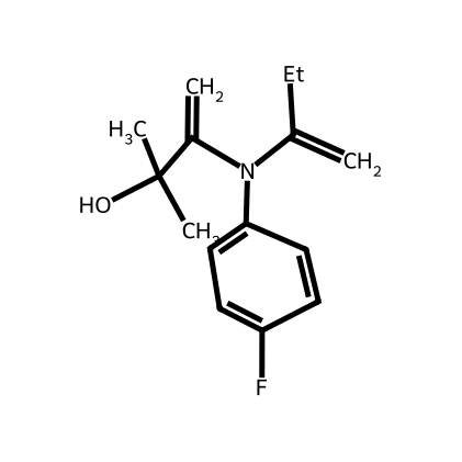 C=C(CC)N(C(=C)C(C)(C)O)c1ccc(F)cc1